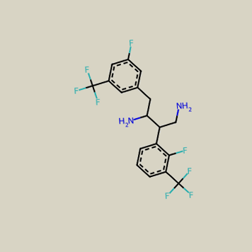 NCC(c1cccc(C(F)(F)F)c1F)C(N)Cc1cc(F)cc(C(F)(F)F)c1